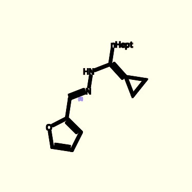 CCCCCCCC(N/N=C/c1ccco1)=C1CC1